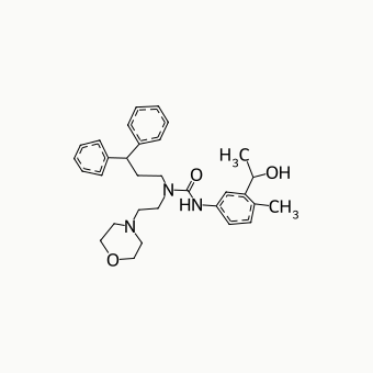 Cc1ccc(NC(=O)N(CCC(c2ccccc2)c2ccccc2)CCN2CCOCC2)cc1C(C)O